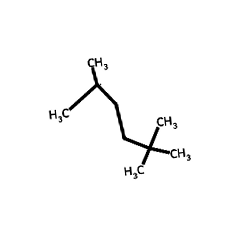 C[C](C)CCC(C)(C)C